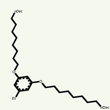 CCCCCCCCCCCCCCCCCCOc1cc(CC)cc(OCCCCCCCCCCCCCCCCCC)c1